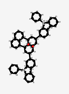 c1ccc(-n2c3ccccc3c3ccc(-c4cccc(-c5cccc6cccc(-c7cccc(-c8ccc9c%10ccccc%10n(-c%10ccccc%10)c9c8)c7)c56)c4)cc32)cc1